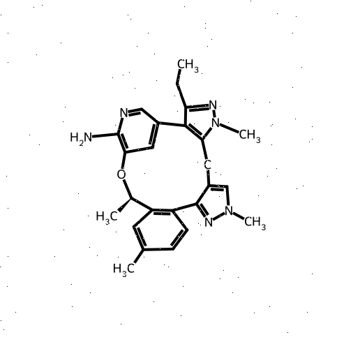 CCc1nn(C)c2c1-c1cnc(N)c(c1)O[C@H](C)c1cc(C)ccc1-c1nn(C)cc1C2